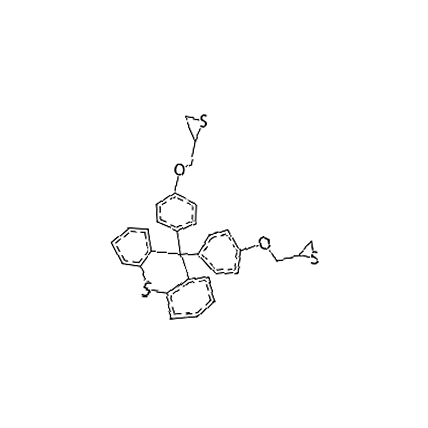 c1ccc2c(c1)Sc1ccccc1C2(c1ccc(OCC2CS2)cc1)c1ccc(OCC2CS2)cc1